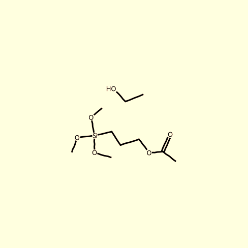 CCO.CO[Si](CCCOC(C)=O)(OC)OC